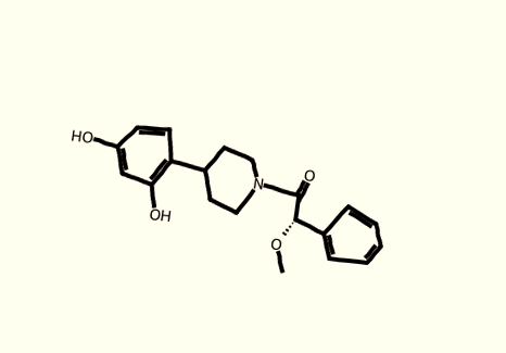 CO[C@H](C(=O)N1CCC(c2ccc(O)cc2O)CC1)c1ccccc1